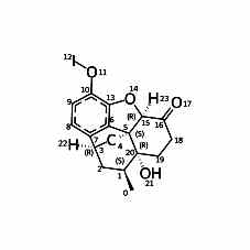 C[C@H]1C[C@@H]2C[C@]34c5c2ccc(OI)c5O[C@H]3C(=O)CC[C@@]14O